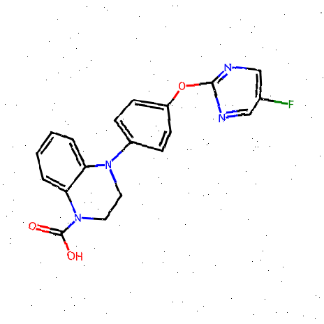 O=C(O)N1CCN(c2ccc(Oc3ncc(F)cn3)cc2)c2ccccc21